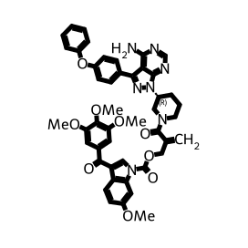 C=C(COC(=O)n1cc(C(=O)c2cc(OC)c(OC)c(OC)c2)c2ccc(OC)cc21)C(=O)N1CCC[C@@H](n2nc(-c3ccc(Oc4ccccc4)cc3)c3c(N)ncnc32)C1